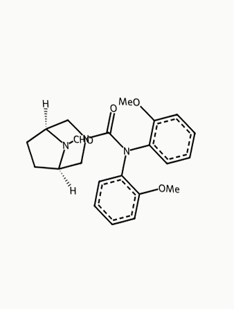 COc1ccccc1N(C(=O)N1C[C@H]2CC[C@@H](C1)N2C=O)c1ccccc1OC